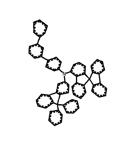 c1ccc(-c2cccc(-c3ccc(N(c4ccc5c(c4)-c4ccccc4C5(c4ccccc4)c4ccccc4)c4cccc5c4-c4ccccc4C54c5ccccc5-c5ccccc54)cc3)c2)cc1